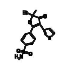 CCC1(C)OC(c2ccc(S(N)(=O)=O)cc2)=C(c2ccsc2)C1=O